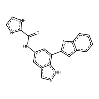 O=C(Nc1cc(-c2cc3ccccc3s2)c2[nH]ncc2c1)c1ncc[nH]1